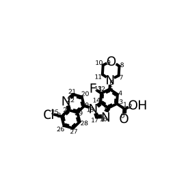 O=C(O)c1cc(N2CCOCC2)c(F)c2c1ncn2-c1ccnc2c(Cl)cccc12